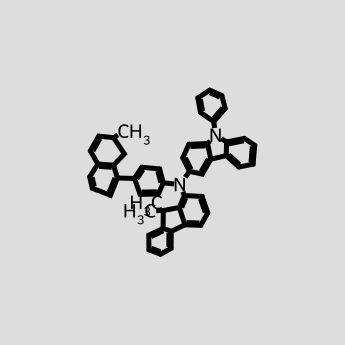 CC1C=Cc2cccc(-c3ccc(N(c4ccc5c(c4)c4ccccc4n5-c4ccccc4)c4cccc5c4C(C)(C)c4ccccc4-5)cc3)c2C1